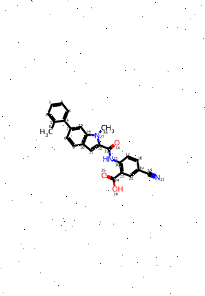 Cc1ccccc1-c1ccc2cc(C(=O)Nc3ccc(C#N)cc3C(=O)O)n(C)c2c1